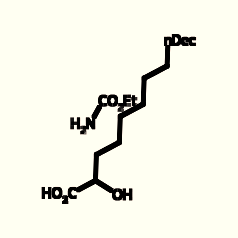 CCCCCCCCCCCCCCCCC(O)C(=O)O.CCOC(N)=O